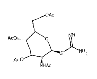 CC(=O)N[C@H]1C(OC(C)=O)[C@H](OC(C)=O)C(COC(C)=O)O[C@H]1SC(=N)N